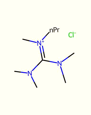 CCC[N+](C)=C(N(C)C)N(C)C.[Cl-]